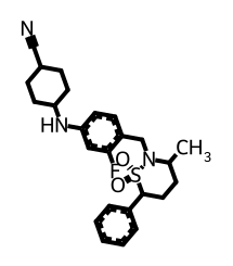 CC1CCC(c2ccccc2)S(=O)(=O)N1Cc1ccc(NC2CCC(C#N)CC2)cc1F